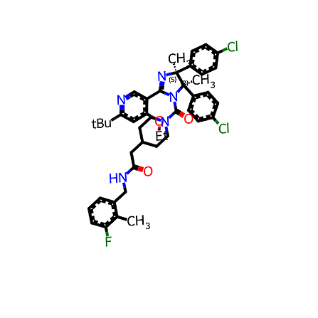 CCOc1cc(C(C)(C)C)ncc1C1=N[C@@](C)(c2ccc(Cl)cc2)[C@@](C)(c2ccc(Cl)cc2)N1C(=O)N1CCC(CC(=O)NCc2cccc(F)c2C)CC1